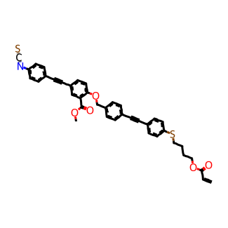 C=CC(=O)OCCCCSc1ccc(C#Cc2ccc(COc3ccc(C#Cc4ccc(N=C=S)cc4)cc3C(=O)OC)cc2)cc1